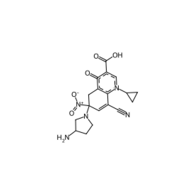 N#CC1=CC(N2CCC(N)C2)([N+](=O)[O-])Cc2c1n(C1CC1)cc(C(=O)O)c2=O